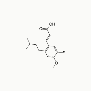 COc1cc(CCC(C)C)c(/C=C/C(=O)O)cc1F